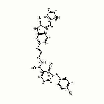 O=C1Nc2cc(/C=C/CNC(=O)c3cncn(Cc4ccc(Cl)nc4)c3=O)ccc2/C1=C/c1cnc[nH]1